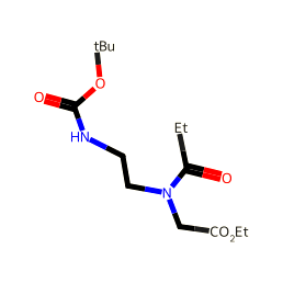 CCOC(=O)CN(CCNC(=O)OC(C)(C)C)C(=O)CC